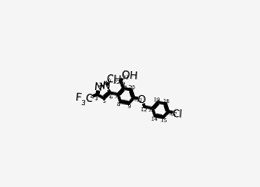 Cn1nc(C(F)(F)F)cc1-c1ccc(OCc2ccc(Cl)cc2)cc1CO